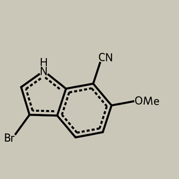 COc1ccc2c(Br)c[nH]c2c1C#N